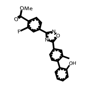 COC(=O)c1ccc(-c2noc(-c3ccc(-c4ccccc4O)c(C)c3)n2)cc1F